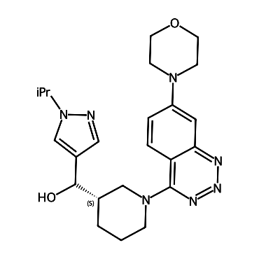 CC(C)n1cc(C(O)[C@H]2CCCN(c3nnnc4cc(N5CCOCC5)ccc34)C2)cn1